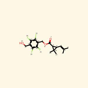 CC(C)=CC1C(C(=O)OCc2c(F)c(F)c(CO)c(F)c2F)C1(C)C